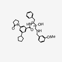 COc1cccc(CNC[C@@H](O)[C@H](Cc2ccccc2)NC(=O)c2cc(C3CCCC3)cc(N3CCCC3=O)c2)c1